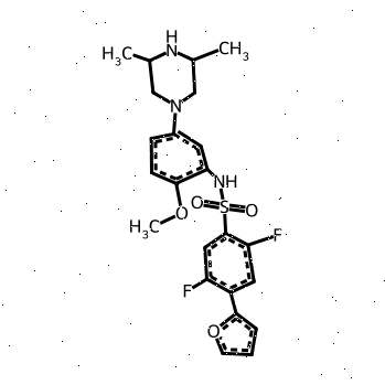 COc1ccc(N2CC(C)NC(C)C2)cc1NS(=O)(=O)c1cc(F)c(-c2ccco2)cc1F